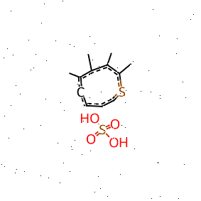 Cc1ccccsc(C)c(C)c1C.O=S(=O)(O)O